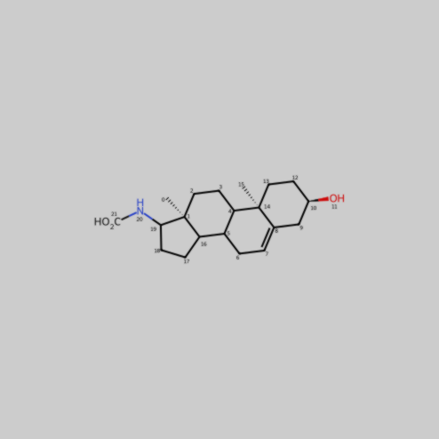 C[C@]12CCC3C(CC=C4C[C@H](O)CC[C@@]43C)C1CCC2NC(=O)O